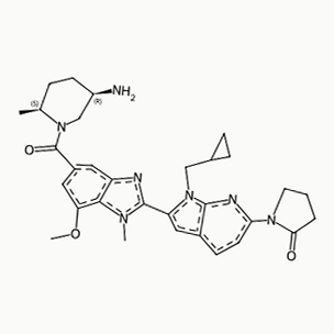 COc1cc(C(=O)N2C[C@H](N)CC[C@@H]2C)cc2nc(-c3cc4ccc(N5CCCC5=O)nc4n3CC3CC3)n(C)c12